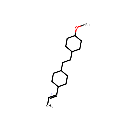 C/C=C/C1CCC(CCC2CCC(OCCCC)CC2)CC1